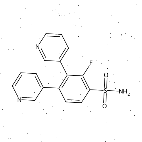 NS(=O)(=O)c1ccc(-c2cccnc2)c(-c2cccnc2)c1F